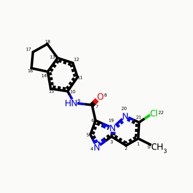 Cc1cc2ncc(C(=O)Nc3ccc4c(c3)CCC4)n2nc1Cl